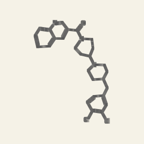 O=C(c1cnc2ccccc2c1)N1CCC(N2CCC(Cc3ccc(Cl)c(Cl)c3)CC2)CC1